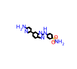 Nc1ccc(-c2ccc3cnc(Nc4ccc(S(N)(=O)=O)cc4)nc3c2)cn1